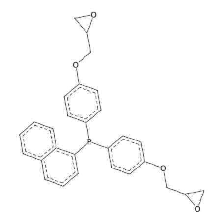 c1ccc2c(P(c3ccc(OCC4CO4)cc3)c3ccc(OCC4CO4)cc3)cccc2c1